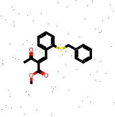 COC(=O)/C(=C/c1ccccc1SCc1ccccc1)C(C)=O